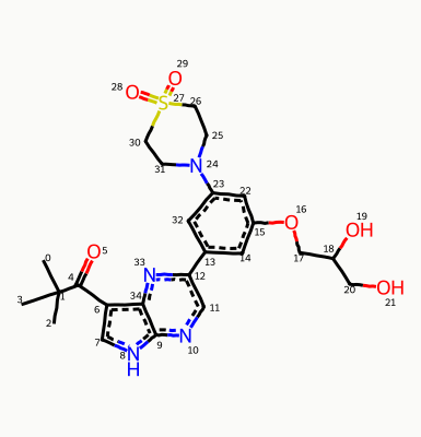 CC(C)(C)C(=O)c1c[nH]c2ncc(-c3cc(OCC(O)CO)cc(N4CCS(=O)(=O)CC4)c3)nc12